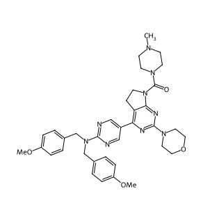 COc1ccc(CN(Cc2ccc(OC)cc2)c2ncc(-c3nc(N4CCOCC4)nc4c3CCN4C(=O)N3CCN(C)CC3)cn2)cc1